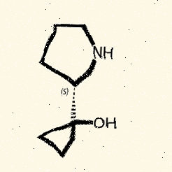 OC1([C@@H]2CCCN2)CC1